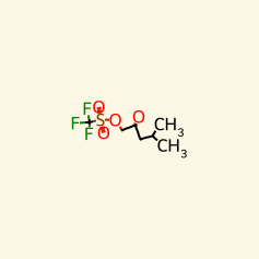 CC(C)CC(=O)COS(=O)(=O)C(F)(F)F